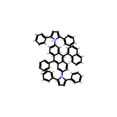 c1ccc(-c2c3cc(-n4c(-c5ccccc5)ccc4-c4ccccc4)ccc3c(-c3cccc4ccccc34)c3cc(-n4c(-c5ccccc5)ccc4-c4ccccc4)ccc23)cc1